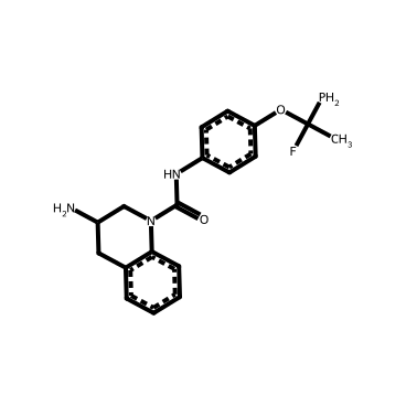 CC(F)(P)Oc1ccc(NC(=O)N2CC(N)Cc3ccccc32)cc1